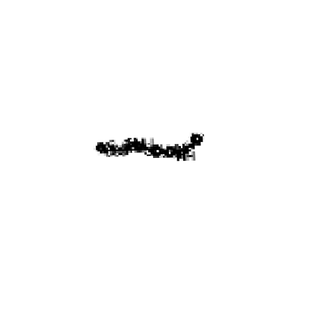 N=C(NC(=O)OCc1ccccc1)c1ccc(-c2ccc(OC[C@@H]3C[C@@H](CC(=O)OCOC(=O)OC4CCCC4)C(=O)N3)cc2)cc1